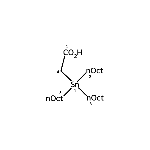 CCCCCCC[CH2][Sn]([CH2]CCCCCCC)([CH2]CCCCCCC)[CH2]C(=O)O